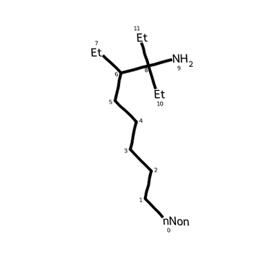 CCCCCCCCCCCCCCC(CC)C(N)(CC)CC